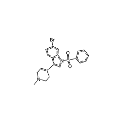 CN1CC=C(c2cn(S(=O)(=O)c3ccccc3)c3cc(Br)ccc23)CC1